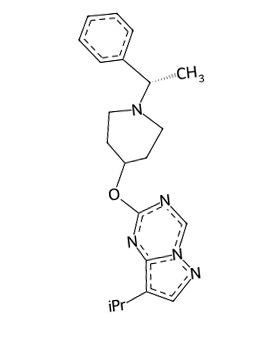 CC(C)c1cnn2cnc(OC3CCN([C@@H](C)c4ccccc4)CC3)nc12